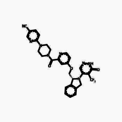 N#Cc1ccc(N2CCN(C(=O)c3cc(OC[C@H]4c5ccccc5CN4c4cn[nH]c(=O)c4C(F)(F)F)ccn3)CC2)nc1